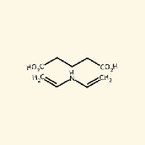 C=CNC=C.O=C(O)CCCC(=O)O